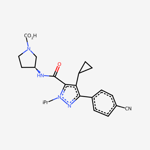 CC(C)n1nc(-c2ccc(C#N)cc2)c(C2CC2)c1C(=O)N[C@H]1CCN(C(=O)O)C1